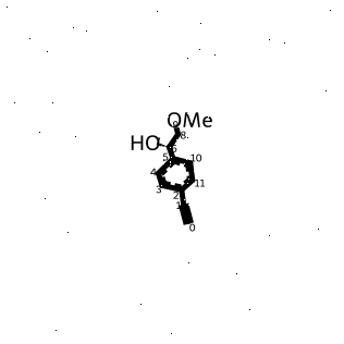 C#Cc1ccc([C@H](O)COC)cc1